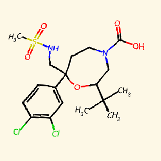 CC(C)(C)C1CN(C(=O)O)CCC(CNS(C)(=O)=O)(c2ccc(Cl)c(Cl)c2)O1